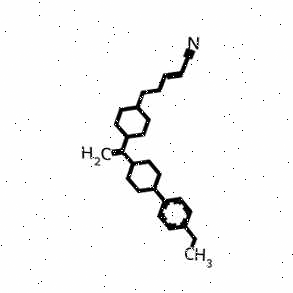 C=C(C1CCC(CCC=CC#N)CC1)C1CCC(c2ccc(CC)cc2)CC1